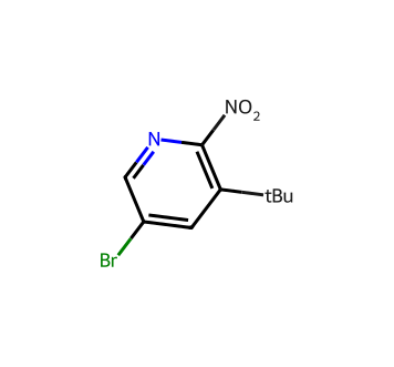 CC(C)(C)c1cc(Br)cnc1[N+](=O)[O-]